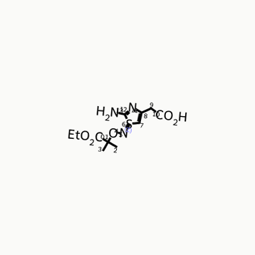 CCOC(=O)C(C)(C)O/N=S1/C=C(CC(=O)O)N=C1N